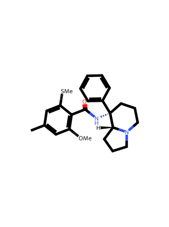 COc1cc(C)cc(SC)c1C(=O)N[C@]1(c2ccccc2)CCCN2CCC[C@@H]21